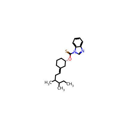 CCC(C)C(C)C/C=C1\CCC[C@H](OC(=S)n2cnc3ccccc32)C1